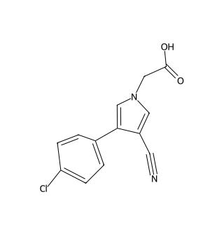 N#Cc1cn(CC(=O)O)cc1-c1ccc(Cl)cc1